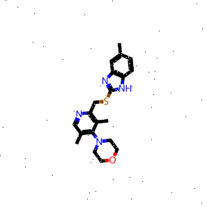 Cc1ccc2[nH]c(SCc3ncc(C)c(N4CCOCC4)c3C)nc2c1